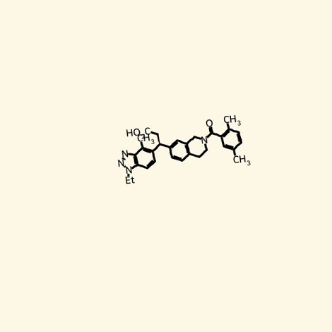 CCn1nnc2c(C)c([C@@H](CC(=O)O)c3ccc4c(c3)CN(C(=O)c3cc(C)ccc3C)CC4)ccc21